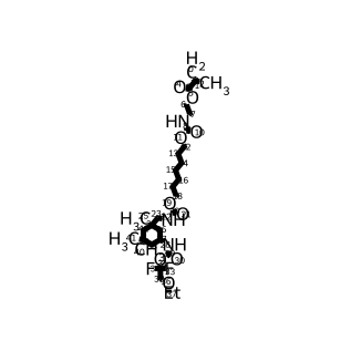 C=C(C)C(=O)OCCNC(=O)OCCCCCCCOC(=O)NCC1(C)CC(NC(=O)OC(F)(F)COCC)CC(C)(C)C1